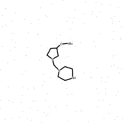 CC(C)(C)OC1CCN(CN2CCNCC2)C1